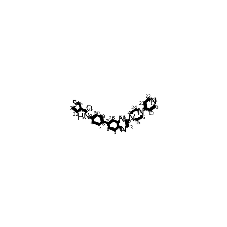 O=C(Nc1ccc(-c2ccc3ncc(N4CCN(c5ccncc5)CC4)nc3c2)cc1)C1C=CSC1